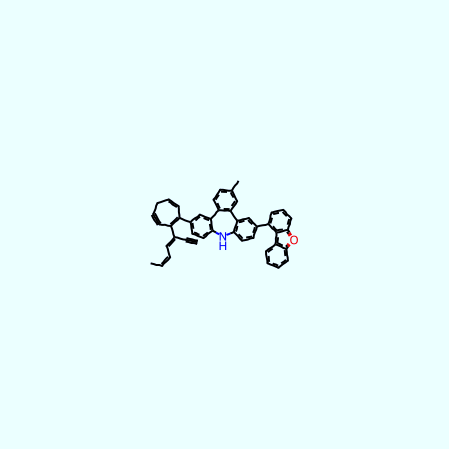 C#C/C(=C\C=C/C)C1=C(c2ccc3c(c2)-c2ccc(C)cc2-c2cc(-c4cccc5oc6ccccc6c45)ccc2N3)C=CCC#C1